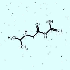 CC(C)NCC(=O)NC(=N)S